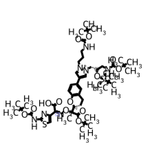 CC(C)(C)OC(=O)NCCC[n+]1cc(-c2ccc3c(c2)CC[C@H]([C@](C)(O/N=C(\C(=O)O)c2csc(NC(=O)OC(C)(C)C)n2)C(=O)OC(C)(C)C)O3)cn1C[C@H](CNC(=O)OC(C)(C)C)O[Si](C)(C)C(C)(C)C